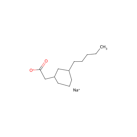 CCCCCC1CCCC(CC(=O)[O-])C1.[Na+]